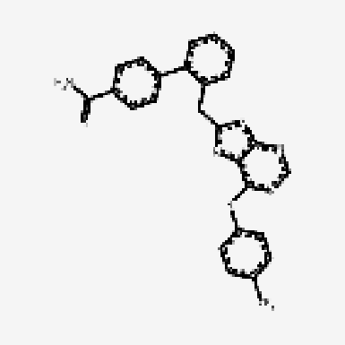 NC(=O)c1ccc(-c2ccccc2Cc2nc3c(Nc4ccc(C(F)(F)F)cc4)ncnc3s2)cc1